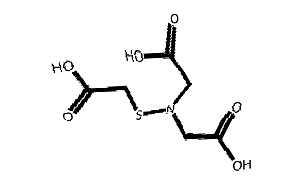 O=C(O)CSN(CC(=O)O)CC(=O)O